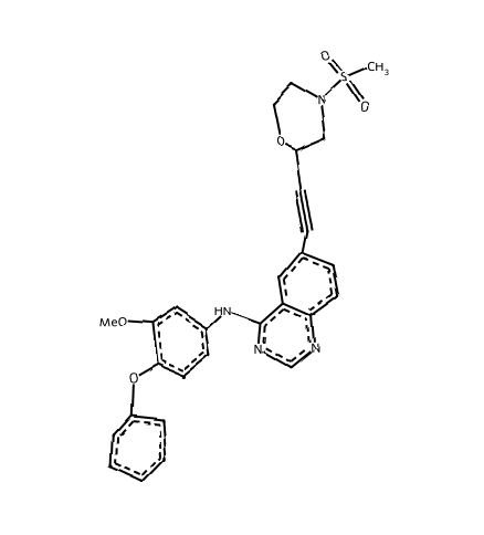 COc1cc(Nc2ncnc3ccc(C#CC4CN(S(C)(=O)=O)CCO4)cc23)ccc1Oc1ccccc1